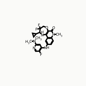 CN(C)c1cc(Nc2ccc3c(c2)c2c(c(=O)n3C)OCC(F)(F)C(C3CC3)N2)c(F)cn1